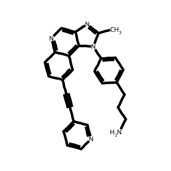 Cc1nc2cnc3ccc(C#Cc4cccnc4)cc3c2n1-c1ccc(CCCN)cc1